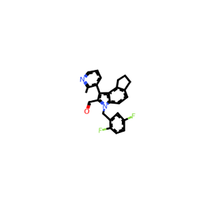 Cc1ncccc1-c1c(C=O)n(Cc2cc(F)ccc2F)c2ccc3c(c12)CCC3